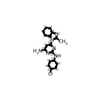 Cc1nc2ccccc2n1-c1cc(N)nc(Nc2ccc(Cl)cc2)n1